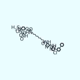 Cn1c(=O)n(C2CCC(=O)NC2=O)c2cc(OCC(=O)NCCCCCCCCCC(=O)Nc3cncc(Nc4ncc(Cl)c(-c5cccc(-c6ccccc6)c5)n4)c3)ccc21